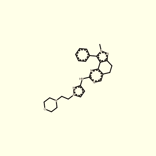 Cn1nc2c(c1-c1ccccc1)-c1nc(Nc3ccn(CCN4CCOCC4)n3)ncc1CC2